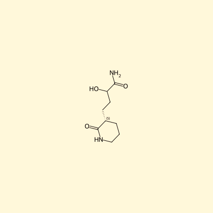 NC(=O)C(O)CC[C@@H]1CCCNC1=O